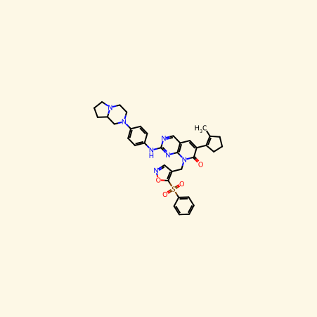 CC1=C(c2cc3cnc(Nc4ccc(N5CCN6CCCC6C5)cc4)nc3n(Cc3cnoc3S(=O)(=O)c3ccccc3)c2=O)CCC1